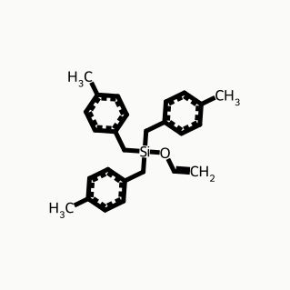 C=CO[Si](Cc1ccc(C)cc1)(Cc1ccc(C)cc1)Cc1ccc(C)cc1